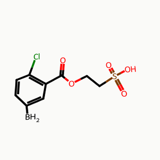 Bc1ccc(Cl)c(C(=O)OCCS(=O)(=O)O)c1